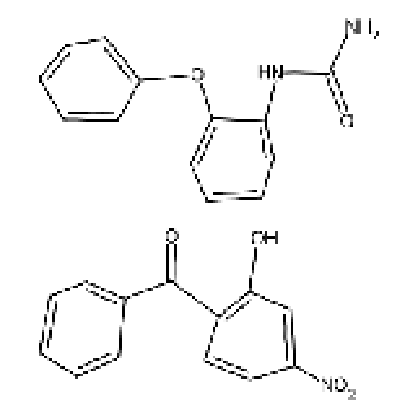 NC(=O)Nc1ccccc1Oc1ccccc1.O=C(c1ccccc1)c1ccc([N+](=O)[O-])cc1O